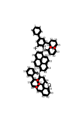 Fc1cc(-c2ccccc2)cc(-c2ccccc2)c1N(c1ccccc1)c1ccc2ccc3c(N(c4cc5ccc6cccc7oc(c4)c5c67)c4ccccc4-c4ccccc4)ccc4ccc1c2c43